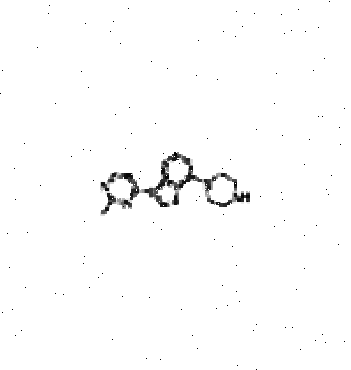 Cc1nccc(-n2ccc3c(N4CCNCC4)cccc32)n1